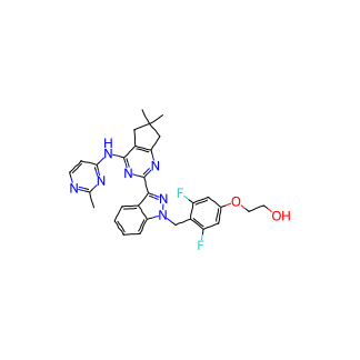 Cc1nccc(Nc2nc(-c3nn(Cc4c(F)cc(OCCO)cc4F)c4ccccc34)nc3c2CC(C)(C)C3)n1